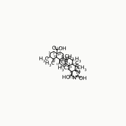 CC1CCC2(C(=O)O)CCC3(C)C(=CCC4C5(C)Cc6c(O)nc(O)nc6C(C)(C)C5CCC43C)C2C1C